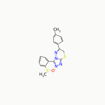 Cc1ccc(C2=Nn3c(nnc3-c3ccccc3[S+](C)[O-])SC2)cc1